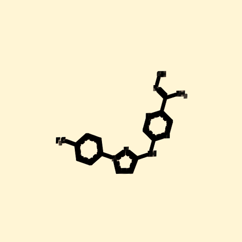 N/C(=N\O)c1cnc(Nc2ccn(-c3ccc(C(F)(F)F)cc3)n2)cn1